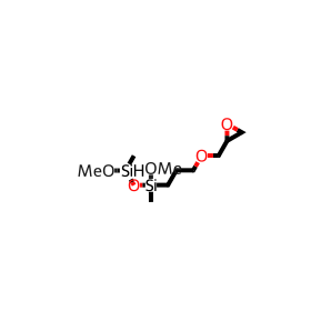 CO[SiH](C)O[Si](C)(CCCOCC1CO1)OC